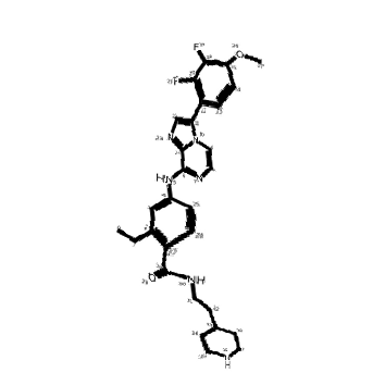 CCc1cc(Nc2nccn3c(-c4ccc(OC)c(F)c4F)cnc23)ccc1C(=O)NCCC1CCNCC1